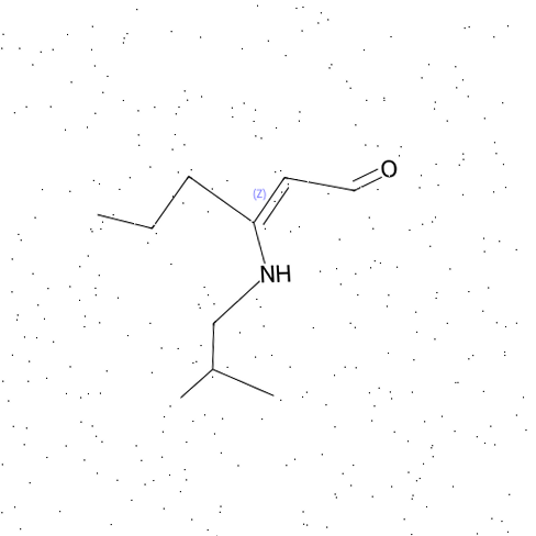 CCC/C(=C/C=O)NCC(C)C